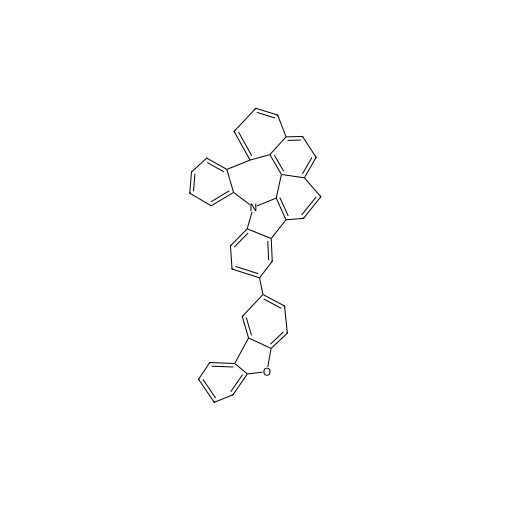 c1ccc2c(c1)oc1ccc(-c3ccc4c(c3)c3ccc5ccc6cccc7c8ccccc8n4c3c5c67)cc12